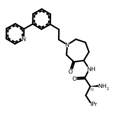 CC(C)C[C@H](N)C(=O)NC1CCCN(CCc2cccc(-c3ccccn3)c2)CC1=O